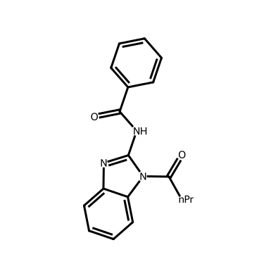 CCCC(=O)n1c(NC(=O)c2ccccc2)nc2ccccc21